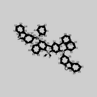 C[Si]1(C)c2cc(N(c3ccccc3)c3ccc4oc5ccccc5c4c3)c(-c3ccccc3)cc2-c2cc(N(c3ccccc3)c3ccc4sc5ccccc5c4c3)c3ccccc3c21